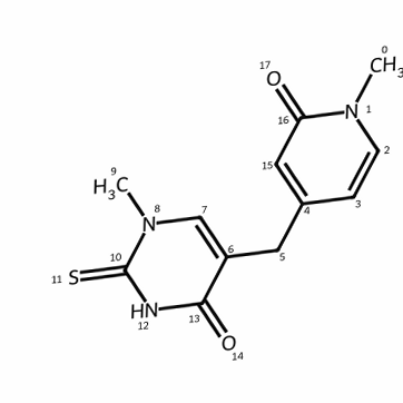 Cn1ccc(Cc2cn(C)c(=S)[nH]c2=O)cc1=O